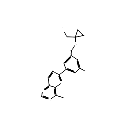 Cl.Nc1ncnc2ccc(-c3cc(F)cc(CNC4(CO)CC4)c3)nc12